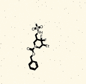 CCC1CN(C(=O)OCc2ccccc2)CC(CNS(C)(=O)=O)C1(F)F